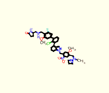 COc1cc(Cn2ncc3c(-c4cccc(-c5cc(F)c(CNCC6CCC(=O)N6)c(OC)c5)c4Cl)cccc32)c([N+](=O)[O-])cc1CN(C)N1CCC1